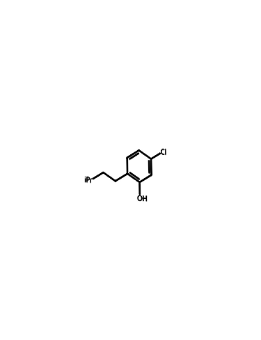 CC(C)CCc1ccc(Cl)cc1O